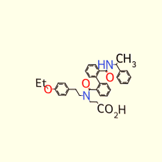 CCOc1ccc(CCN(CCC(=O)O)C(=O)c2ccccc2-c2ccccc2C(=O)NC(C)c2ccccc2)cc1